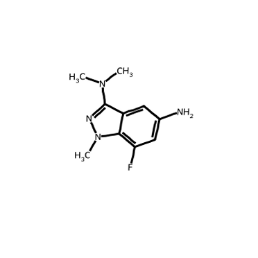 CN(C)c1nn(C)c2c(F)cc(N)cc12